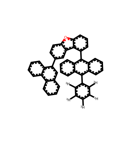 [2H]c1c([2H])c([2H])c(-c2c3ccccc3c(-c3cccc4oc5ccc(-c6cc7ccccc7c7ccccc67)cc5c34)c3ccccc23)c([2H])c1[2H]